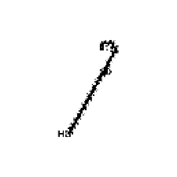 CC/C=C\C/C=C\C/C=C\CCCCCCCC(=O)OCCCCCCCCCCCCCCCCCCCCCCCCCO